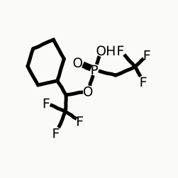 O=P(O)(CC(F)(F)F)OC(C1CCCCC1)C(F)(F)F